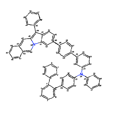 c1ccc(-c2ccccc2-c2ccc(N(c3ccccc3)c3cccc(-c4ccc(-c5ccc6c(-c7ccccc7)c7cc8ccccc8cn7c6c5)cc4)c3)cc2)cc1